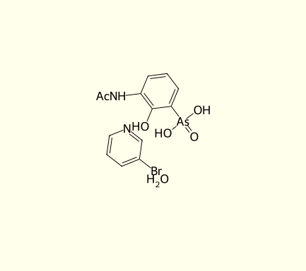 Brc1cccnc1.CC(=O)Nc1cccc([As](=O)(O)O)c1O.O